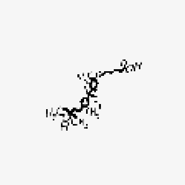 CCC(O)(/C=C/c1ccc(C(CC)(CC)c2ccc(OCCCCCC(=O)O)c(C)c2)cc1C)CC